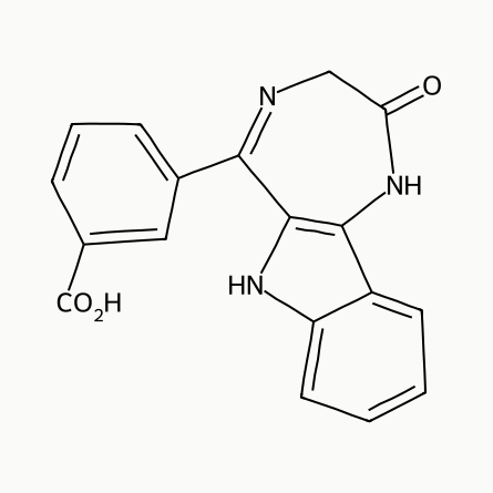 O=C1CN=C(c2cccc(C(=O)O)c2)c2[nH]c3ccccc3c2N1